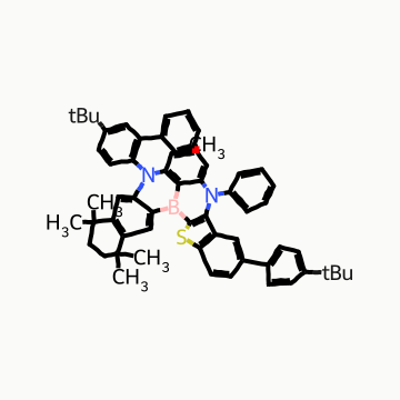 Cc1cc2c3c(c1)N(c1ccccc1)c1c(sc4ccc(-c5ccc(C(C)(C)C)cc5)cc14)B3c1cc3c(cc1N2c1ccc(C(C)(C)C)cc1-c1ccccc1)C(C)(C)CCC3(C)C